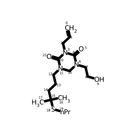 C=CCN1C(=O)N(CCO)CN(CCCC(C)(C)SCCC)C1=O